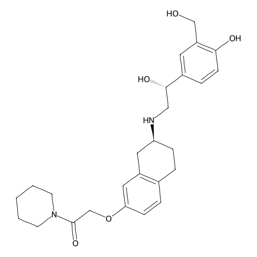 O=C(COc1ccc2c(c1)C[C@@H](NC[C@H](O)c1ccc(O)c(CO)c1)CC2)N1CCCCC1